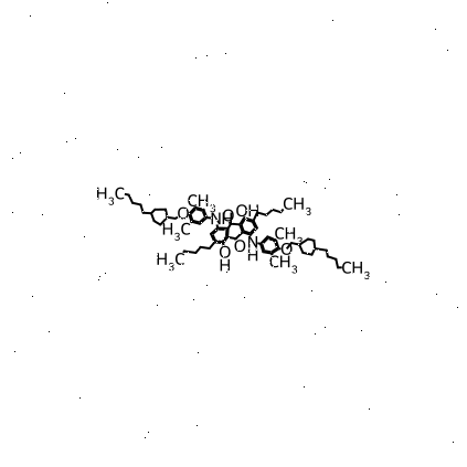 CCCCCc1cc(Nc2cc(C)c(OCC3CCC(CCCCC)CC3)c(C)c2)c2c(c1O)C(=O)c1c(Nc3cc(C)c(OCC4CCC(CCCCC)CC4)c(C)c3)cc(CCCCC)c(O)c1C2=O